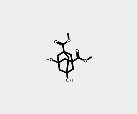 COC(=O)C12CC3(O)CC(O)(C1)CC(C(=O)OC)(C3)C2